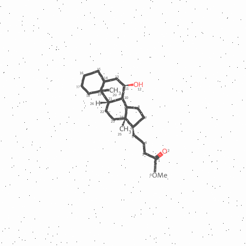 COC(=O)CCC[C@@H]1CCC2C3[C@H](O)CC4CCCCC4(C)[C@H]3CC[C@]21C